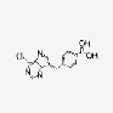 OB(O)c1ccc(Cn2cnc3c(Cl)ncnc32)cc1